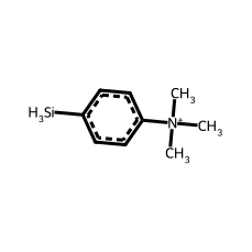 C[N+](C)(C)c1ccc([SiH3])cc1